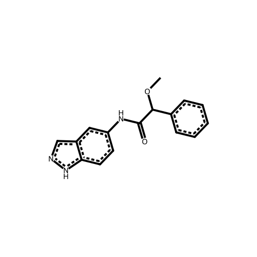 COC(C(=O)Nc1ccc2[nH]ncc2c1)c1ccccc1